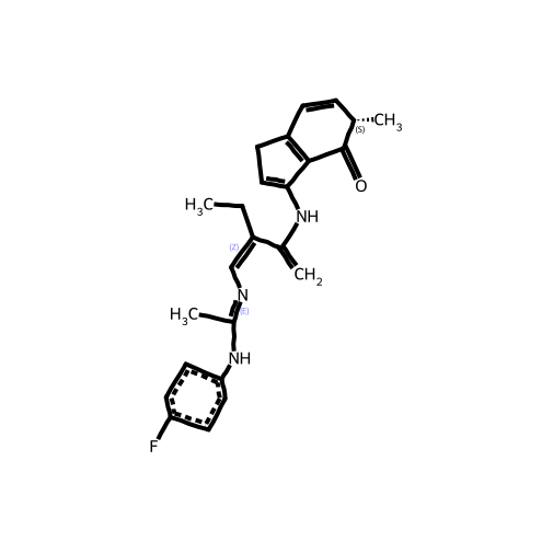 C=C(NC1=CCC2=C1C(=O)[C@@H](C)C=C2)/C(=C\N=C(/C)Nc1ccc(F)cc1)CC